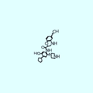 C#Cc1ccc2c(c1)NCC(C(=O)Nc1cc(O)c(C3CCCC3)cc1N1CCNCC1)O2